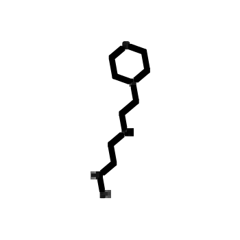 SNCCNCCN1CCOCC1